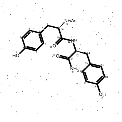 CC(=O)N[C@@H](Cc1ccc(O)cc1)C(=O)N[C@@H](Cc1ccc(O)cc1)C(N)=O